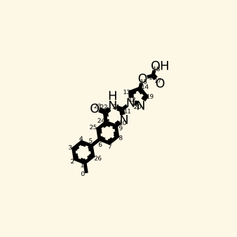 Cc1cccc(-c2ccc3nc(-n4cc(OC(=O)O)cn4)[nH]c(=O)c3c2)c1